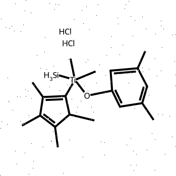 CC1=C(C)C(C)[C]([Ti]([CH3])([CH3])([SiH3])[O]c2cc(C)cc(C)c2)=C1C.Cl.Cl